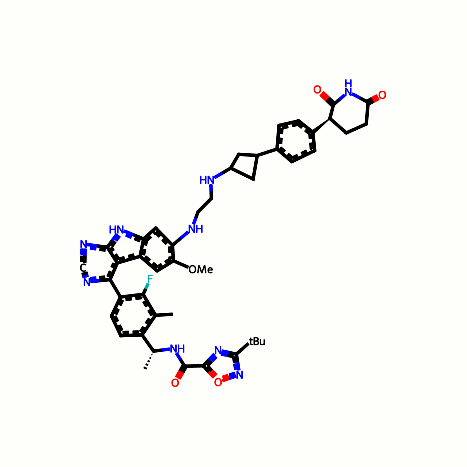 COc1cc2c(cc1NCCNC1CC(c3ccc([C@@H]4CCC(=O)NC4=O)cc3)C1)[nH]c1ncnc(-c3ccc([C@@H](C)NC(=O)c4nc(C(C)(C)C)no4)c(C)c3F)c12